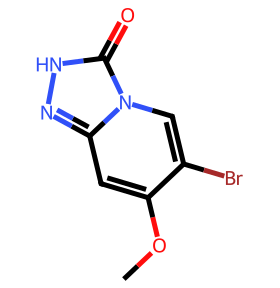 COc1cc2n[nH]c(=O)n2cc1Br